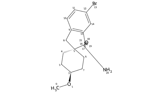 CO[C@H]1CC[C@]2(CC1)Cc1ccc(Br)cc1C21COC(N)=N1